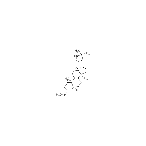 CO[C@@H]1CC[C@]2(C)C3CC[C@]4(C)C([C@@H]5CNC(C)(C)C5)CC[C@@]4(C)C3CC[C@H]2C1